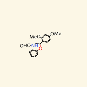 COc1ccc([C](CNC=O)Oc2ccccc2)c(OC)c1